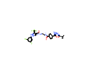 CC(C)c1nnc(C2CCC(C(=O)NCCNC(=O)c3cn(-c4cc(F)cc(F)c4)nc3C(F)(F)F)CC2)o1